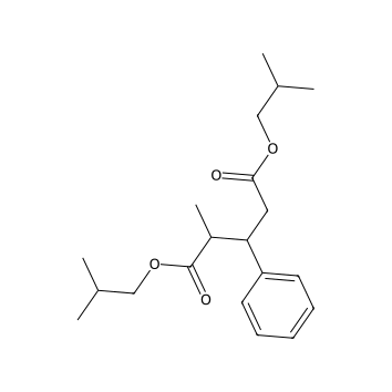 CC(C)COC(=O)CC(c1ccccc1)C(C)C(=O)OCC(C)C